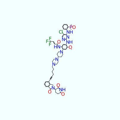 COc1cc(N2CCC(N3CCN(CCCCC#Cc4cccc5c4CN(C4CCC(=O)NC4=O)C5=O)CC3)CC2)c(NC(=O)C=CC(F)(F)F)cc1Nc1ncc(Cl)c(Nc2ccccc2P(C)(C)=O)n1